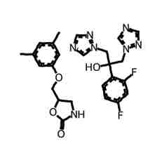 Cc1cc(C)cc(OCC2CNC(=O)O2)c1.OC(Cn1cncn1)(Cn1cncn1)c1ccc(F)cc1F